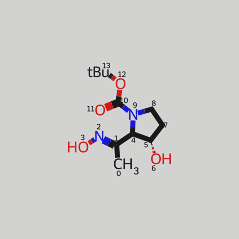 C/C(=N\O)C1[C@@H](O)CCN1C(=O)OC(C)(C)C